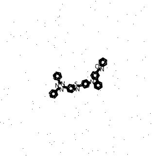 c1ccc(-c2nc(-c3ccccc3)nc(-c3ccc4nc(-c5ccc(-n6c7ccccc7c7cc(-c8nc9ccccc9o8)ccc76)cc5)sc4c3)n2)cc1